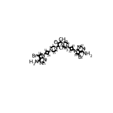 CC(C(=O)C(C)N1CCN([C@H]2C[C@@H](n3cc(Br)c4c(N)ncnc43)C2)CC1)N1CCN([C@H]2C[C@@H](n3cc(Br)c4c(N)ncnc43)C2)CC1